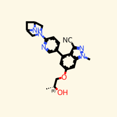 C[C@@H](O)COc1cc(-c2ccc(N3CC4CC(C3)N4)nc2)c2c(C#N)nn(C)c2c1